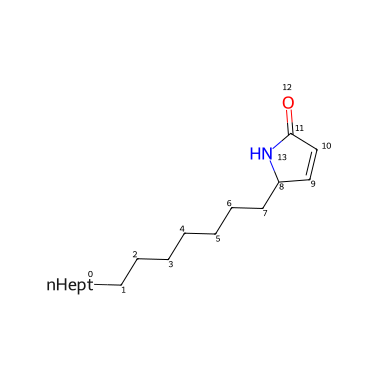 CCCCCCCCCCCCCCC1C=CC(=O)N1